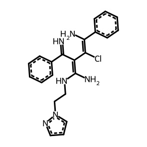 N=C(C(=C(/N)NCCn1cccn1)/C(Cl)=C(\N)c1ccccc1)c1ccccc1